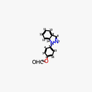 O=COc1ccc(-n2ncc3ccccc32)cc1